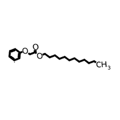 CCCCCCCCCCCCOC(=O)COc1c[c]ccc1